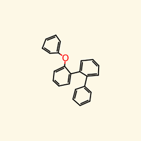 c1ccc(Oc2ccccc2-c2ccccc2-c2ccccc2)cc1